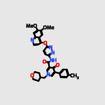 COc1cc2nccc(Oc3ccc(NC(=O)c4cn(CC5CCOCC5)cc(-c5ccc(C)cc5)c4=O)nn3)c2cc1OC